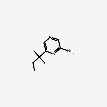 CCC(C)(C)c1cncc(N)n1